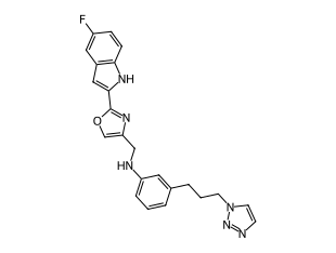 Fc1ccc2[nH]c(-c3nc(CNc4cccc(CCCn5ccnn5)c4)co3)cc2c1